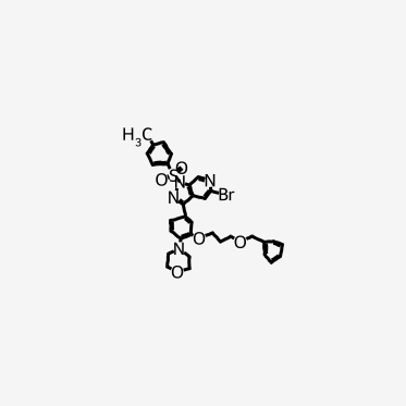 Cc1ccc(S(=O)(=O)n2nc(-c3ccc(N4CCOCC4)c(OCCCOCc4ccccc4)c3)c3cc(Br)ncc32)cc1